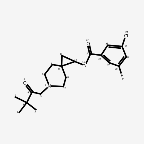 CC(C)(C)C(=O)CN1CCC2(CC1)CC2NC(=O)c1cc(F)cc(Cl)c1